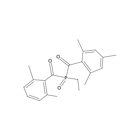 CCP(=O)(C(=O)c1c(C)cccc1C)C(=O)c1c(C)cc(C)cc1C